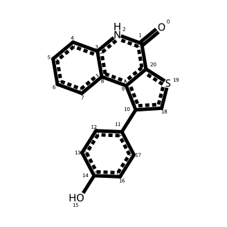 O=c1[nH]c2ccccc2c2c(-c3ccc(O)cc3)csc12